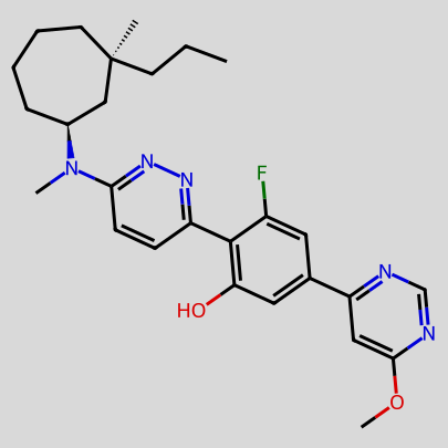 CCC[C@]1(C)CCCC[C@H](N(C)c2ccc(-c3c(O)cc(-c4cc(OC)ncn4)cc3F)nn2)C1